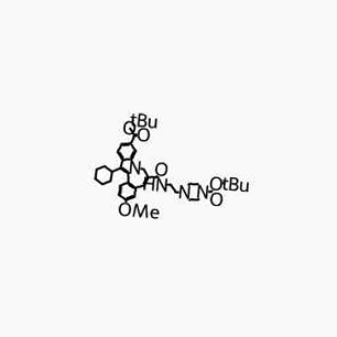 COc1ccc2c(c1)C=C(C(=O)NCCN1CCN(C(=O)OC(C)(C)C)CC1)Cn1c-2c(C2CCCCC2)c2ccc(C(=O)OC(C)(C)C)cc21